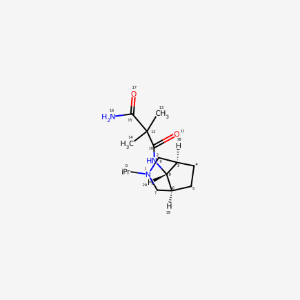 CC(C)N1C[C@H]2CC[C@@H](C1)[C@@H]2NC(=O)C(C)(C)C(N)=O